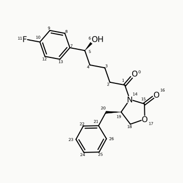 O=C(CCC[C@H](O)c1ccc(F)cc1)N1C(=O)OC[C@H]1Cc1ccccc1